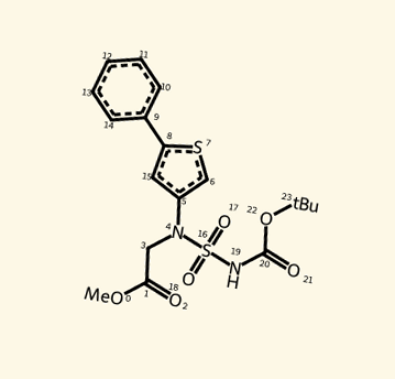 COC(=O)CN(c1csc(-c2ccccc2)c1)S(=O)(=O)NC(=O)OC(C)(C)C